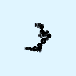 Cn1cc(-c2cnc(N)c(C(=O)N[C@H]3CCC[C@@H]3OCc3ccc(-c4ccc5c(c4)CC(F)(F)[C@H]5N4CCN(CCO)CC4)cc3)c2)cn1